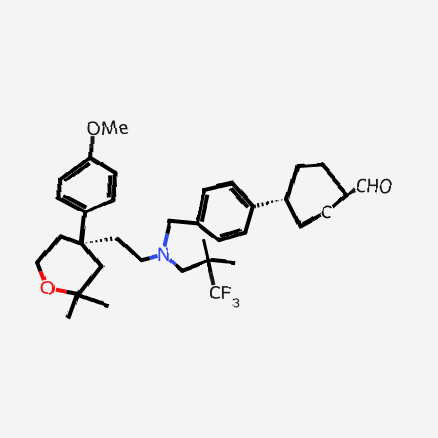 COc1ccc([C@]2(CCN(Cc3ccc([C@H]4CC[C@H](C=O)CC4)cc3)CC(C)(C)C(F)(F)F)CCOC(C)(C)C2)cc1